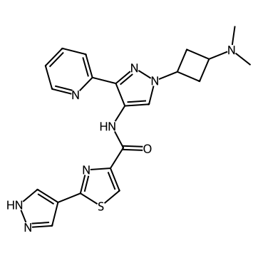 CN(C)C1CC(n2cc(NC(=O)c3csc(-c4cn[nH]c4)n3)c(-c3ccccn3)n2)C1